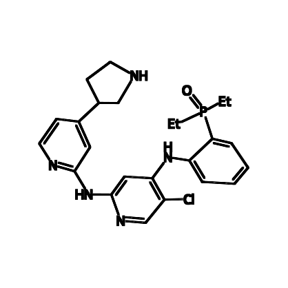 CCP(=O)(CC)c1ccccc1Nc1cc(Nc2cc(C3CCNC3)ccn2)ncc1Cl